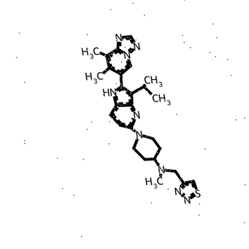 Cc1c(-c2[nH]c3ccc(N4CCC(N(C)Cc5csnn5)CC4)nc3c2C(C)C)cn2ncnc2c1C